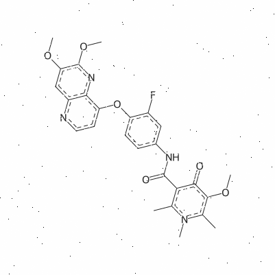 COc1cc2nccc(Oc3ccc(NC(=O)c4c(C)n(C)c(C)c(OC)c4=O)cc3F)c2nc1OC